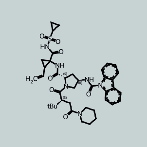 C=CC1CC1(NC(=O)[C@@H]1C[C@@H](NC(=O)n2c3ccccc3c3ccccc32)CN1C(=O)[C@@H](CC(=O)N1CCCCC1)C(C)(C)C)C(=O)NS(=O)(=O)C1CC1